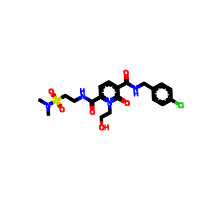 CN(C)S(=O)(=O)CCNC(=O)c1ccc(C(=O)NCc2ccc(Cl)cc2)c(=O)n1CCO